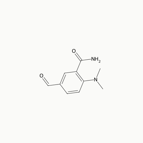 CN(C)c1ccc(C=O)cc1C(N)=O